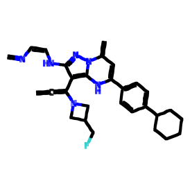 C=C=C(c1c(N/C=C\N=C)nn2c1NC(c1ccc(C3CCCCC3)cc1)=CC2=C)N1CC(CF)C1